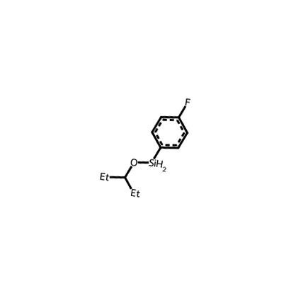 CCC(CC)O[SiH2]c1ccc(F)cc1